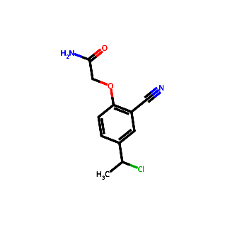 CC(Cl)c1ccc(OCC(N)=O)c(C#N)c1